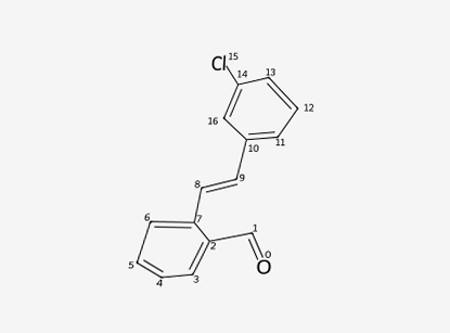 O=Cc1ccccc1C=Cc1cccc(Cl)c1